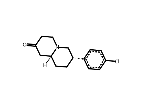 O=C1CCN2C[C@H](c3ccc(Cl)cc3)CC[C@H]2C1